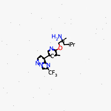 Cc1cc(-c2ccnn3cc(C(F)(F)F)nc23)cnc1OC[C@](C)(N)CC(C)C